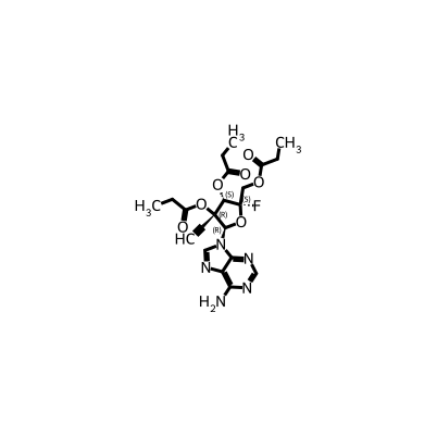 C#C[C@]1(OC(=O)CC)[C@H](n2cnc3c(N)ncnc32)O[C@](F)(COC(=O)CC)[C@H]1OC(=O)CC